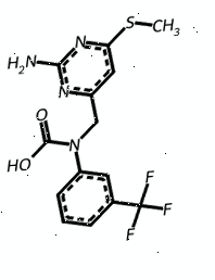 CSc1cc(CN(C(=O)O)c2cccc(C(F)(F)F)c2)nc(N)n1